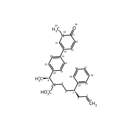 C=CC[C@@H](CCN(C(=O)O)[C@@H](C)c1ccc(-c2ccc(=O)n(C)c2)cc1)c1ccccc1